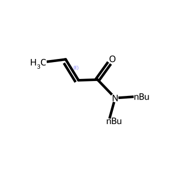 C/C=C/C(=O)N(CCCC)CCCC